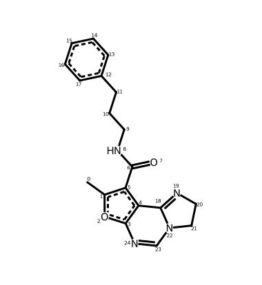 Cc1oc2c(c1C(=O)NCCCc1ccccc1)C1=NCCN1C=N2